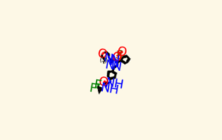 C[C@H]1COCCN1c1nc(-c2ccc(NC(=O)NC3CC3(F)F)cc2)nc(-c2ccccc2S(C)(=O)=O)n1